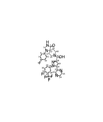 O=C1NCN(c2ccc(F)cc2)C12CCN(C(O)c1cc(-c3cnccn3)n(-c3ccc(F)c(C(F)(F)F)c3)n1)CC2